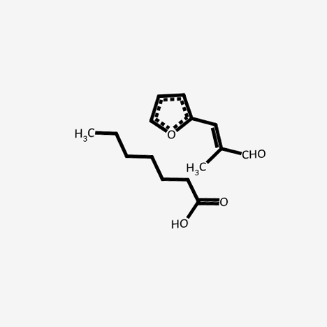 CC(C=O)=Cc1ccco1.CCCCCCC(=O)O